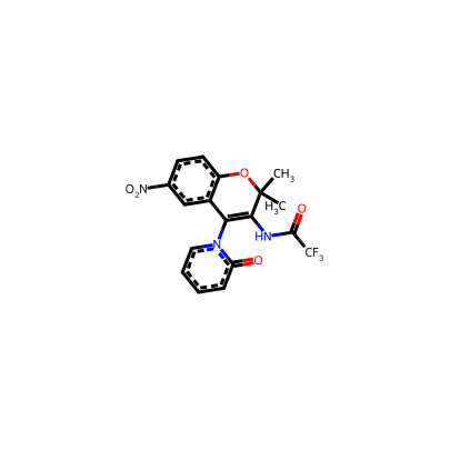 CC1(C)Oc2ccc([N+](=O)[O-])cc2C(n2ccccc2=O)=C1NC(=O)C(F)(F)F